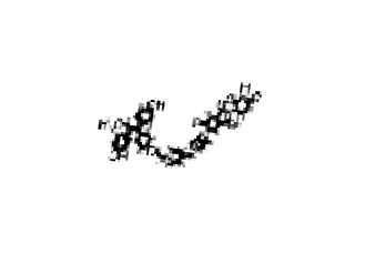 CCC(=C(c1ccc(O)cc1)c1ccc(OCCN2CCC(CN3CC4CC3CN4c3cc4c(cc3F)C(=O)N(C3CCC(=O)NC3=O)C4=O)CC2)cc1)c1ccc(O)cc1